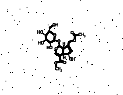 COC(=O)C1=CO[C@@H](O[C@@H]2O[C@H](CO)[C@@H](O)[C@H](O)[C@H]2O)[C@@H]2C(COC(C)=O)=C[C@H](O)[C@H]12